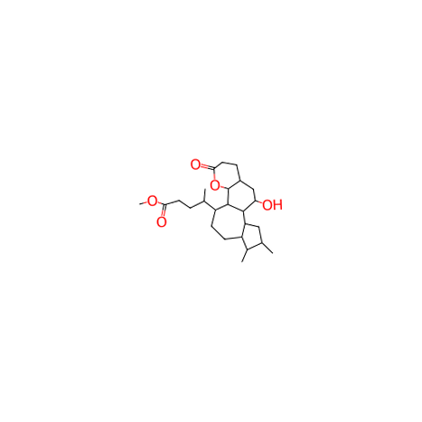 COC(=O)CCC(C)C1CCC2C(C)C(C)CC2C2C(O)CC3CCC(=O)OC3C12